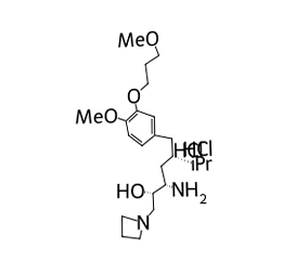 COCCCOc1cc(C[C@@H](C[C@H](N)[C@@H](O)CN2CCC2)C(C)C)ccc1OC.Cl.Cl